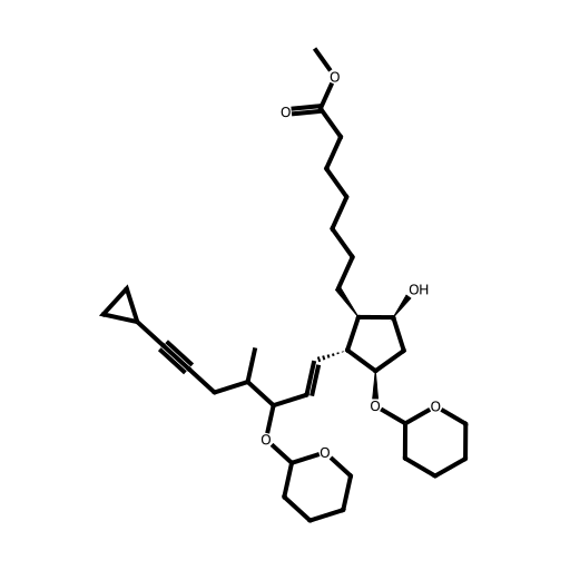 COC(=O)CCCCCC[C@@H]1[C@@H](/C=C/C(OC2CCCCO2)C(C)CC#CC2CC2)[C@H](OC2CCCCO2)C[C@@H]1O